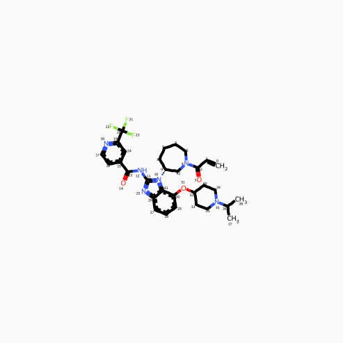 C=CC(=O)N1CCCC[C@@H](n2c(NC(=O)c3ccnc(C(F)(F)F)c3)nc3cccc(OC4CCN(C(C)C)CC4)c32)C1